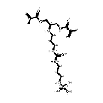 C=C(C)C(=O)OCC(COC(=O)C(=C)C)OCCCNC(=O)NCCCOP(=O)(O)O